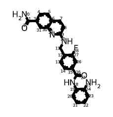 NC(=O)c1ccc2ccc(NCc3ccc(C(=O)Nc4ccccc4N)cc3F)nc2c1